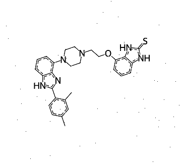 Cc1ccc(-c2nc3c(N4CCN(CCOc5cccc6[nH]c(=S)[nH]c56)CC4)cccc3[nH]2)c(C)c1